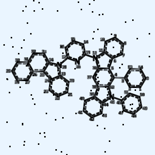 c1ccc(-c2c3c4ccccc4n(-c4cccc(-n5c6ccccc6c6c7ccccc7ccc65)n4)c3cc3c4ccccc4n(-c4ccccc4)c23)cc1